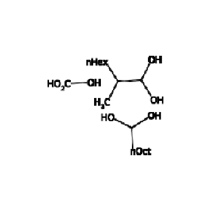 CCCCCCC(C)C(O)O.CCCCCCCCC(O)O.O=C(O)O